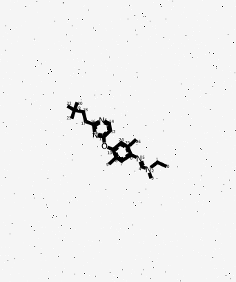 CCN(C)C=Nc1cc(C)c(Oc2ccnc(CCC(C)(C)C)n2)cc1C